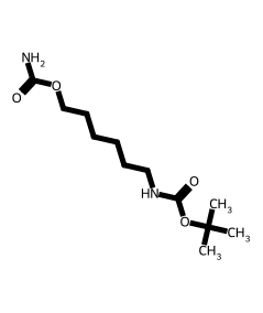 CC(C)(C)OC(=O)NCCCCCCOC(N)=O